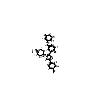 Fc1ccc(-c2cn(C3CCNCC3)c(-c3ccnc(Sc4ccccc4)c3)n2)cc1